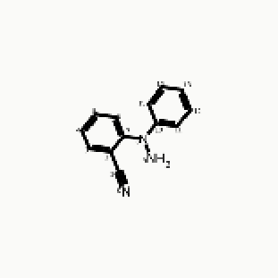 N#Cc1ccccc1N(N)c1ccccc1